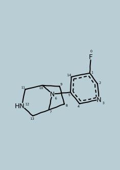 Fc1cncc(N2C3CCC2CNC3)c1